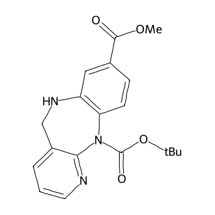 COC(=O)c1ccc2c(c1)NCc1cccnc1N2C(=O)OC(C)(C)C